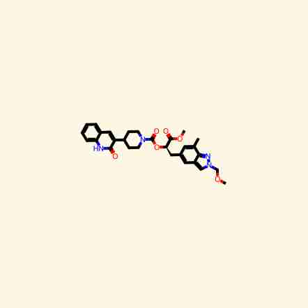 COCn1cc2cc(C[C@@H](OC(=O)N3CCC(c4cc5ccccc5[nH]c4=O)CC3)C(=O)OC)cc(C)c2n1